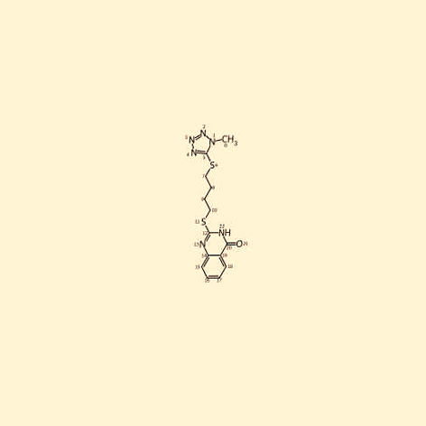 Cn1nnnc1SCCCCSc1nc2ccccc2c(=O)[nH]1